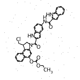 CCOC(=O)Oc1cc2c(c3ccccc13)C(CCl)CN2C(=O)c1cc2cc(NC(=O)c3cc4ccccc4[nH]3)ccc2[nH]1